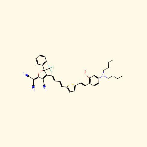 CCCCN(CCCC)c1ccc(C=Cc2ccc(C=CC=CC3=C(C#N)C(=C(C#N)C#N)OC3(c3ccccc3)C(F)(F)F)s2)c(OC)c1